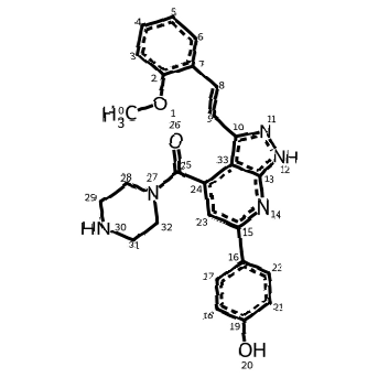 COc1ccccc1/C=C/c1n[nH]c2nc(-c3ccc(O)cc3)cc(C(=O)N3CCNCC3)c12